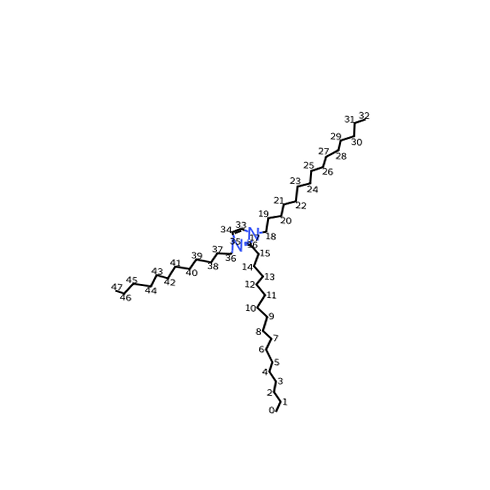 CCCCCCCCCCCCCCCCc1n(CCCCCCCCCCCCCCC)cc[n+]1CCCCCCCCCCCC